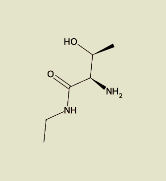 CCNC(=O)[C@H](N)[C@H](C)O